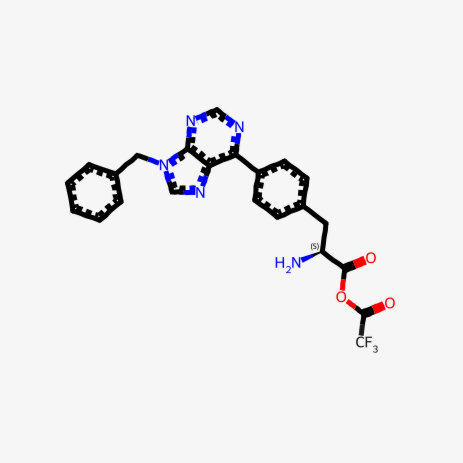 N[C@@H](Cc1ccc(-c2ncnc3c2ncn3Cc2ccccc2)cc1)C(=O)OC(=O)C(F)(F)F